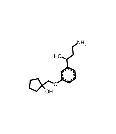 NCC[C@H](O)c1cccc(OCC2(O)CCCC2)c1